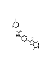 Cc1ccc(CC(=O)Nc2ccc(-c3cc4c(C)ncnc4[nH]3)cc2)nc1